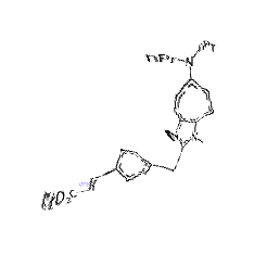 CCCN(CCC)c1ccc2c(c1)nc(Cc1ccc(/C=C/C(=O)OCC)cc1)n2C